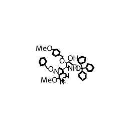 COc1ccc(CO[C@@H]2[C@@H](O)[C@@H](COC(c3ccccc3)(c3ccccc3)c3ccccc3)N[C@H]2c2cn(COCc3ccccc3)c3c(OC)ncnc23)cc1